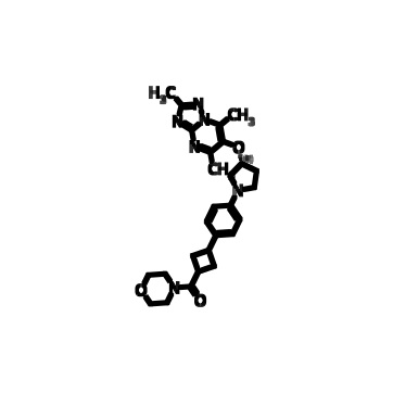 Cc1nc2nc(C)c(O[C@@H]3CCN(c4ccc(C5CC(C(=O)N6CCOCC6)C5)cc4)C3)c(C)n2n1